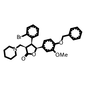 COc1cc([C@H]2OC(=O)[C@@H](CN3CCCCC3)[C@H]2c2ccccc2Br)ccc1OCc1ccccc1